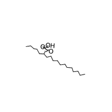 CCCCCCCCCCCCC(CCCCC)S(=O)(=O)O